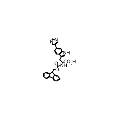 O=C(NC(Cc1c[nH]c2cc(-c3cncnc3)ccc12)C(=O)O)OCC1c2ccccc2-c2ccccc21